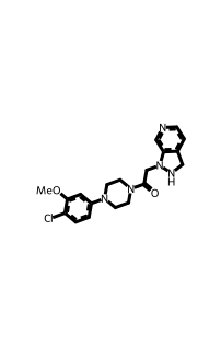 COc1cc(N2CCN(C(=O)CN3NCc4ccncc43)CC2)ccc1Cl